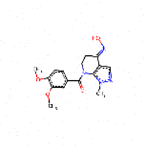 COc1ccc(C(=O)N2CC/C(=N\O)c3cnn(C)c32)cc1OC